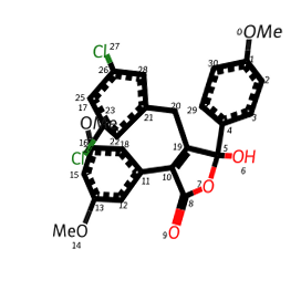 COc1ccc(C2(O)OC(=O)C(c3cc(OC)cc(OC)c3)=C2Cc2cc(Cl)cc(Cl)c2)cc1